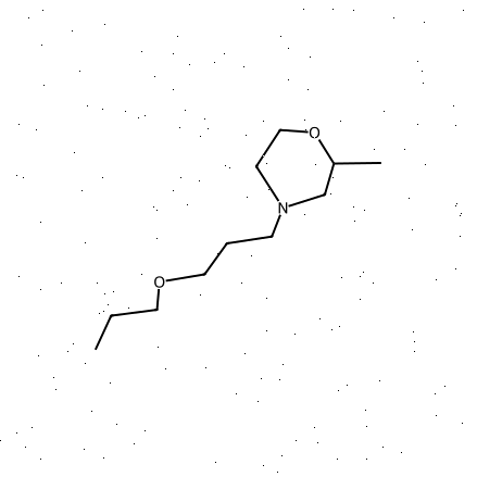 CCCOCCCN1CCOC(C)C1